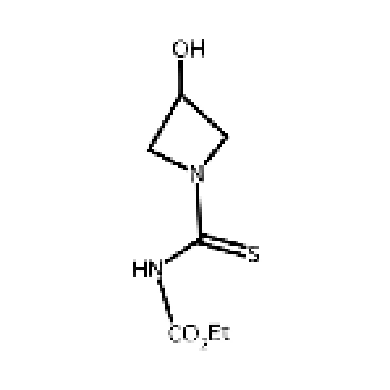 CCOC(=O)NC(=S)N1CC(O)C1